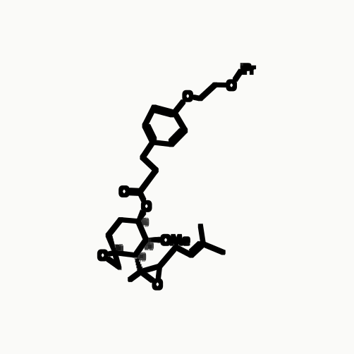 CO[C@H]1[C@H](C2(C)OC2CC=C(C)C)[C@]2(CC[C@H]1OC(=O)CCc1ccc(OCCOC(C)C)cc1)CO2